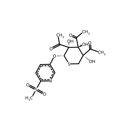 CC(=O)[C@]1(O)[C@@](O)(C(C)=O)CS[C@H](Oc2ccc(S(C)(=O)=O)nc2)[C@@]1(O)C(C)=O